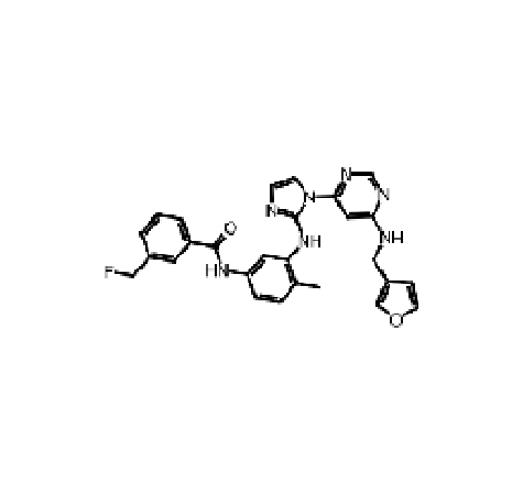 Cc1ccc(NC(=O)c2cccc(CF)c2)cc1Nc1nccn1-c1cc(NCc2ccoc2)ncn1